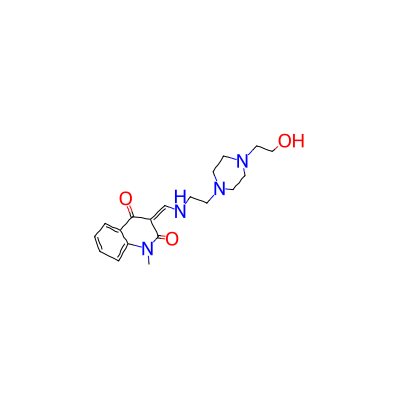 CN1C(=O)C(=CNCCN2CCN(CCO)CC2)C(=O)c2ccccc21